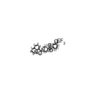 O=C(c1cccc2cccnc12)N1CCC(S(=O)(=O)c2cccc(OC(F)(F)F)c2)CC1